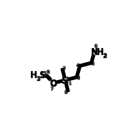 C[Si](C)(CCCN)O[SiH3]